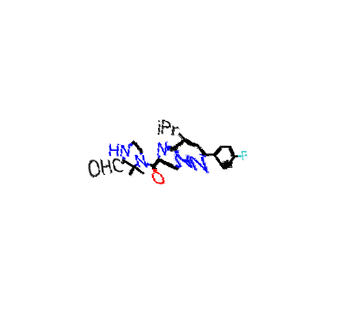 CC(C)c1cc(-c2ccc(F)cc2)nn2cc(C(=O)N3CCNC(C=O)C3(C)C)nc12